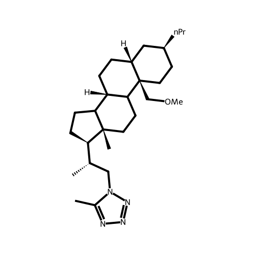 CCC[C@H]1CC[C@]2(COC)C3CC[C@@]4(C)C(CC[C@@H]4[C@@H](C)Cn4nnnc4C)[C@@H]3CC[C@@H]2C1